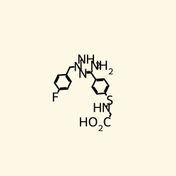 N/C(=N\N(N)Cc1ccc(F)cc1)c1ccc(SNCC(=O)O)cc1